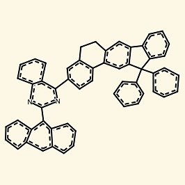 c1ccc(C2(c3ccccc3)c3ccccc3-c3cc4c(cc32)-c2ccc(-c3nc(-c5c6ccccc6cc6ccccc56)nc5ccccc35)cc2CC4)cc1